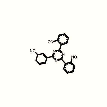 N#CC1C=C(c2nc(-c3ccccc3N=O)nc(-c3ccccc3N=O)n2)C=CC1